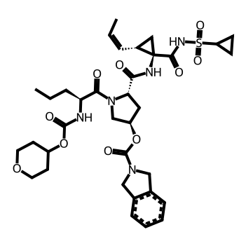 C/C=C\[C@@H]1C[C@]1(NC(=O)[C@@H]1C[C@@H](OC(=O)N2Cc3ccccc3C2)CN1C(=O)[C@H](CCC)NC(=O)OC1CCOCC1)C(=O)NS(=O)(=O)C1CC1